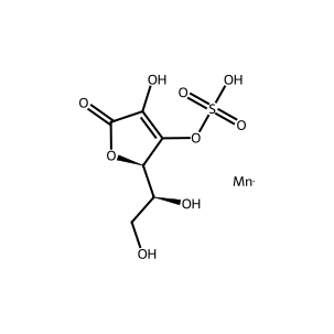 O=C1O[C@H]([C@@H](O)CO)C(OS(=O)(=O)O)=C1O.[Mn]